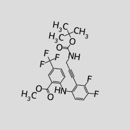 COC(=O)c1cc(C(F)(F)F)ccc1Nc1ccc(F)c(F)c1C#CCNC(=O)OC(C)(C)C